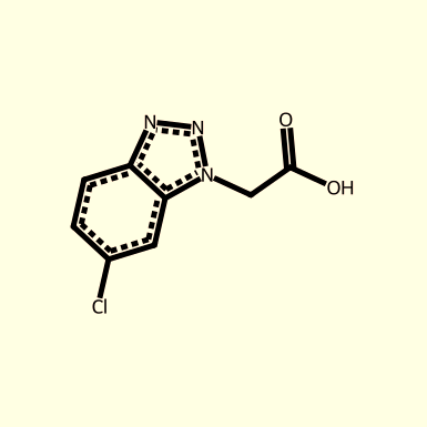 O=C(O)Cn1nnc2ccc(Cl)cc21